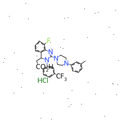 Cc1cccc(N2CCN(C3=Nc4c(F)cccc4C(CC(=O)O)N3c3cccc(C(F)(F)F)c3)CC2)c1.Cl